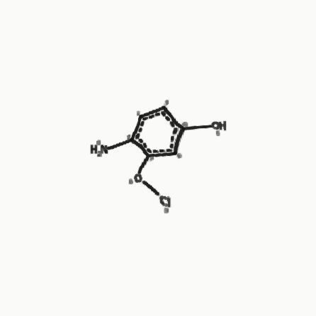 Nc1ccc(O)cc1OCl